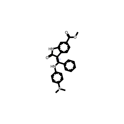 COC(=O)c1ccc2c(c1)NC(=O)/C2=C(\Nc1ccc(N(C)C)cc1)c1ccccc1